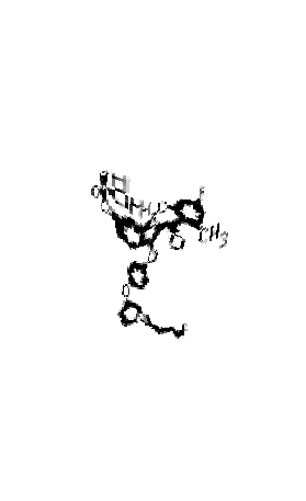 Cc1cc(F)cc(C)c1C(=O)c1sc2cc(OP(=O)(O)O)ccc2c1Oc1ccc(O[C@H]2CCN(CCCF)C2)cc1